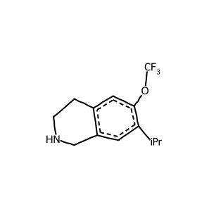 CC(C)c1cc2c(cc1OC(F)(F)F)CCNC2